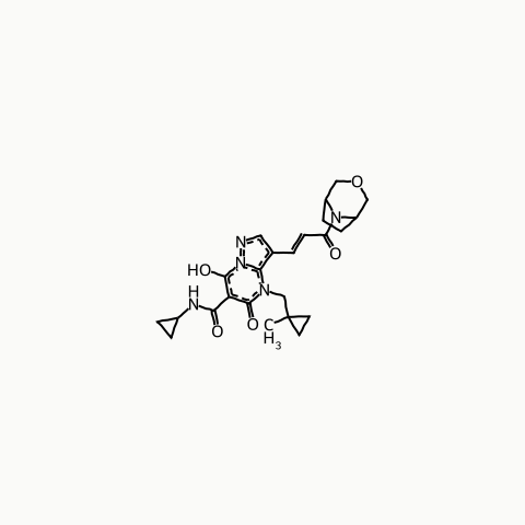 CC1(Cn2c(=O)c(C(=O)NC3CC3)c(O)n3ncc(/C=C/C(=O)N4C5CCC4COC5)c23)CC1